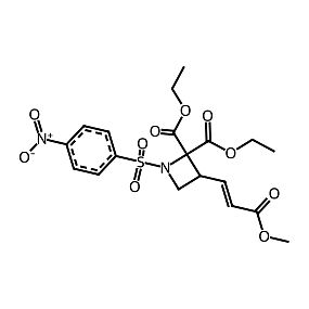 CCOC(=O)C1(C(=O)OCC)C(C=CC(=O)OC)CN1S(=O)(=O)c1ccc([N+](=O)[O-])cc1